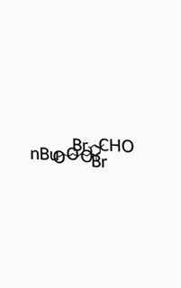 CCCCOCCOCCOc1c(Br)cc(C=O)cc1Br